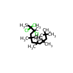 CC(C)(C)CC(C)(C)CC(C)(C)CC(C)(C)CC(C)(Cl)C([SiH3])(Cl)Cl